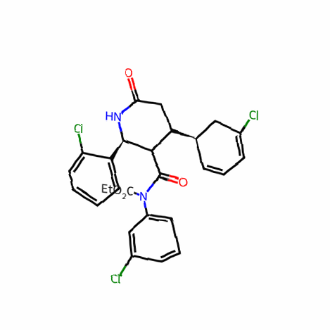 CCOC(=O)N(C(=O)C1C([C@@H]2C=CC=C(Cl)C2)CC(=O)N[C@@H]1c1ccccc1Cl)c1cccc(Cl)c1